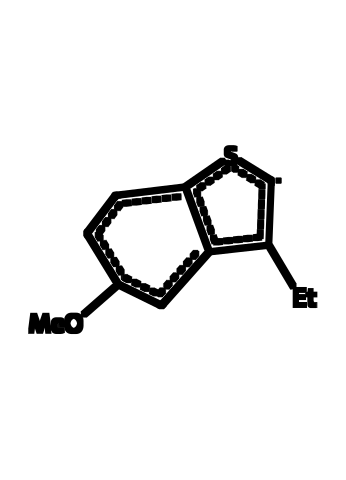 CCc1[c]sc2ccc(OC)cc12